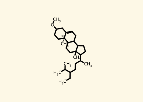 CCC(CCC(C)C1CCC2C3CC=C4CC(OC)CC[C@]4(C)C3CCC12C)C(C)C